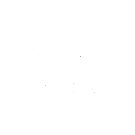 CCCC(CCO)Nc1nc(N)nc2cnn(Cc3cc(C(=O)NC4CCN(C)C4)ccc3OC)c12